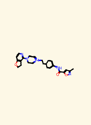 Cc1cc(C(=O)NC2CCC(CCN3CCN(c4nccc5c4CCO5)CC3)CC2)on1